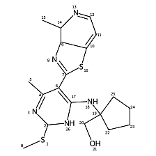 CSC1N=C(C)C(C2=NC3C(=CC=NC3C)S2)=C(NC2(CO)CCCC2)N1